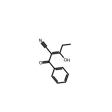 CCC(O)=C(C#N)C(=O)c1ccccc1